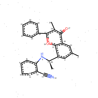 Cc1cc([C@@H](C)Nc2ccccc2C#N)c2oc(-c3ccccc3)c(C)c(=O)c2c1